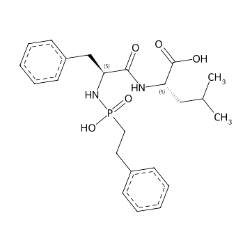 CC(C)C[C@H](NC(=O)[C@H](Cc1ccccc1)NP(=O)(O)CCc1ccccc1)C(=O)O